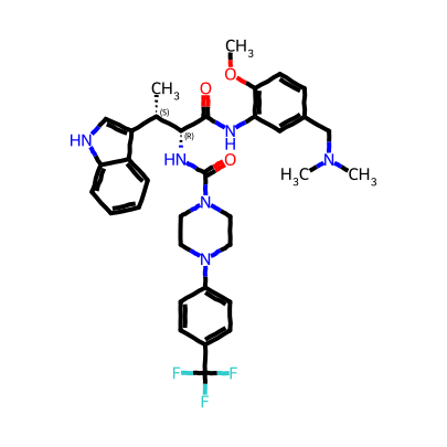 COc1ccc(CN(C)C)cc1NC(=O)[C@H](NC(=O)N1CCN(c2ccc(C(F)(F)F)cc2)CC1)[C@@H](C)c1c[nH]c2ccccc12